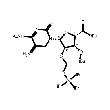 CC(=O)NC1=NC(=O)N([C@@H]2O[C@H](C(O)C(C)(C)C)[C@@H](OC(C)(C)C)[C@H]2OCO[Si](C(C)C)(C(C)C)C(C)C)CC1=[SiH2]